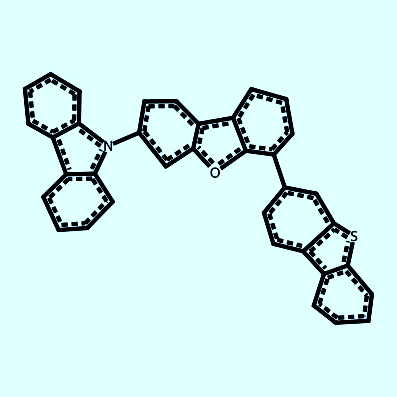 c1ccc2c(c1)sc1cc(-c3cccc4c3oc3cc(-n5c6ccccc6c6ccccc65)ccc34)ccc12